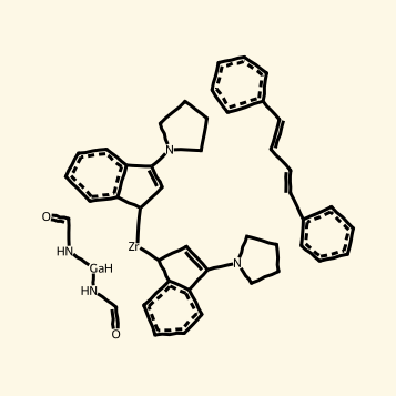 C(C=Cc1ccccc1)=Cc1ccccc1.C1=C(N2CCCC2)c2ccccc2[CH]1[Zr][CH]1C=C(N2CCCC2)c2ccccc21.O=C[NH][GaH][NH]C=O